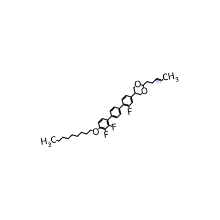 C/C=C/CCC1OCC(c2ccc(-c3ccc(-c4ccc(OCCCCCCCCC)c(F)c4F)cc3)c(F)c2)CO1